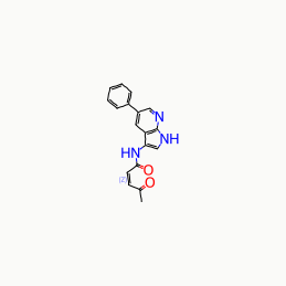 CC(=O)/C=C\C(=O)Nc1c[nH]c2ncc(-c3ccccc3)cc12